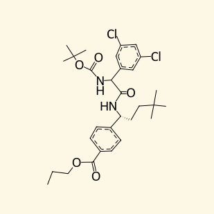 CCCOC(=O)c1ccc([C@@H](CCC(C)(C)C)NC(=O)C(NC(=O)OC(C)(C)C)c2cc(Cl)cc(Cl)c2)cc1